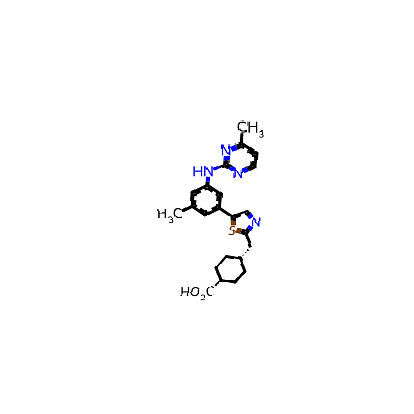 Cc1cc(Nc2nccc(C)n2)cc(-c2cnc(C[C@H]3CC[C@H](C(=O)O)CC3)s2)c1